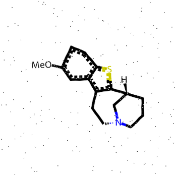 COc1ccc2sc3c(c2c1)CC[N@@]1CCC[C@@H]3C1